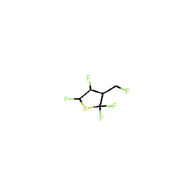 FCC1C(F)C(F)SC1(F)F